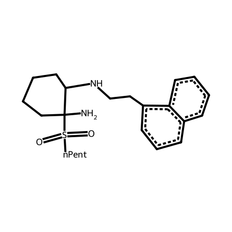 CCCCCS(=O)(=O)C1(N)CCCCC1NCCc1cccc2ccccc12